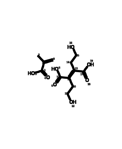 C=C(C)C(=O)O.O=C(O)C(CCO)=C(CCO)C(=O)O